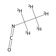 [2H]C([2H])([2H])C([2H])([2H])N=C=O